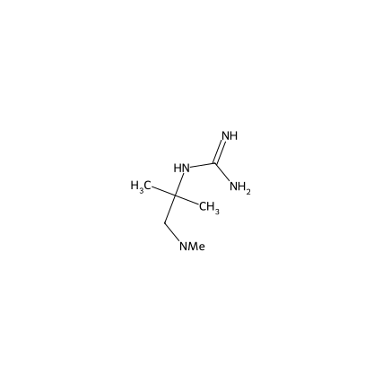 CNCC(C)(C)NC(=N)N